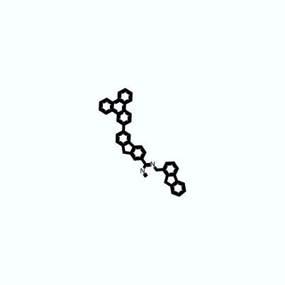 C=N/C(=N\Cc1cccc2c1Cc1ccccc1-2)c1ccc2c(c1)Cc1ccc(-c3ccc4c5ccccc5c5ccccc5c4c3)cc1-2